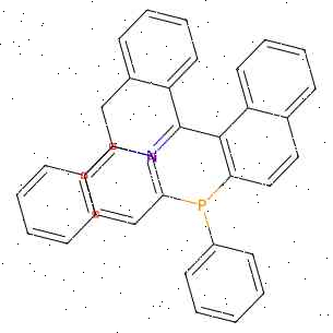 c1ccc(C2Cc3ccccc3C(c3c(P(c4ccccc4)c4ccccc4)ccc4ccccc34)=N2)cc1